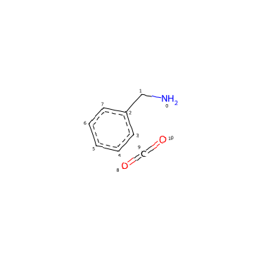 NCc1ccccc1.O=C=O